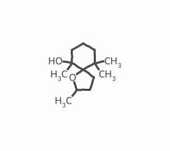 CC1CCC2(O1)C(C)(C)CCCC2(C)O